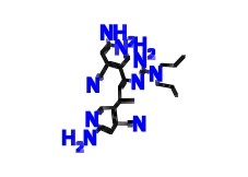 C=C(/C=C(\N=C(/N)N(CCC)CCC)c1cnc(N)cc1C#N)c1cnc(N)cc1C#N